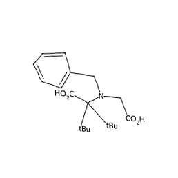 CC(C)(C)C(C(=O)O)(N(CC(=O)O)Cc1ccccc1)C(C)(C)C